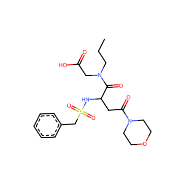 CCCN(CC(=O)O)C(=O)C(CC(=O)N1CCOCC1)NS(=O)(=O)Cc1ccccc1